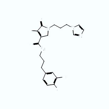 O=C(NCCCc1ccc(Cl)c(Cl)c1)C1=C(O)C(=O)N(CCCn2ccnc2)C1